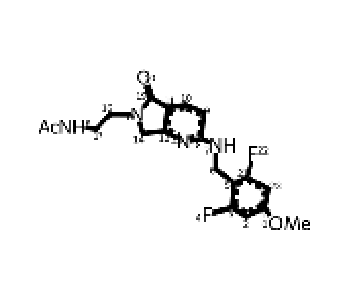 COc1cc(F)c(CNc2ccc3c(n2)CN(CCNC(C)=O)C3=O)c(F)c1